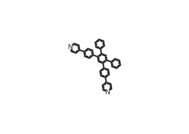 c1ccc(-c2cc(-c3ccccc3)c(-c3ccc(-c4ccncc4)cc3)cc2-c2ccc(-c3ccncc3)cc2)cc1